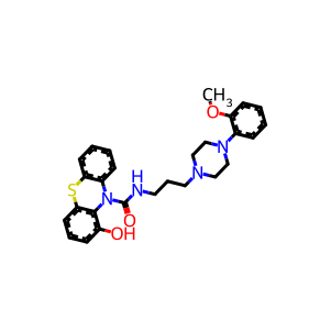 COc1ccccc1N1CCN(CCCNC(=O)N2c3ccccc3Sc3cccc(O)c32)CC1